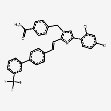 NC(=O)c1ccc(Cn2cc(-c3ccc(Cl)cc3Cl)nc2/C=C/c2ccc(-c3cccc(C(F)(F)F)c3)cc2)cc1